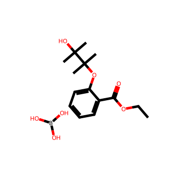 CCOC(=O)c1ccccc1OC(C)(C)C(C)(C)O.OB(O)O